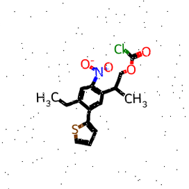 CCc1cc([N+](=O)[O-])c(C(C)COC(=O)Cl)cc1-c1cccs1